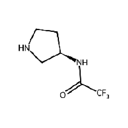 O=C(N[C@@H]1CCNC1)C(F)(F)F